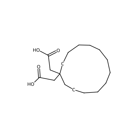 O=C(O)CC1(CC(=O)O)CCCCCCCCCCCC1